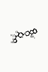 C=C(c1cc[nH]n1)c1cnc(N2CCC3(CC2)Cc2ccccc2[C@H]3N)cc1Cl